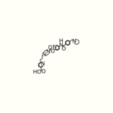 O=C(O)c1ccc(CCCN2CCN(C(=O)Oc3ccc(NC(=O)c4ccc(CN5CCCCC5)cc4)cn3)CC2)nc1